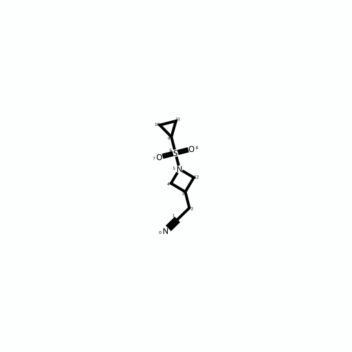 N#CCC1CN(S(=O)(=O)C2CC2)C1